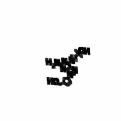 CC(C)(O)C1CN(c2nc(N)nc3c2ncn3[C@H]2C=C[C@@H](CO)C2)C1